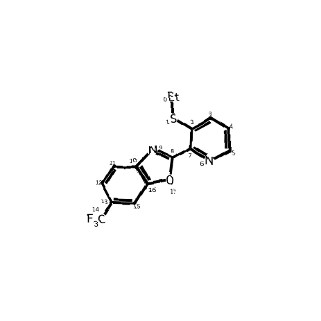 CCSc1cccnc1-c1nc2ccc(C(F)(F)F)cc2o1